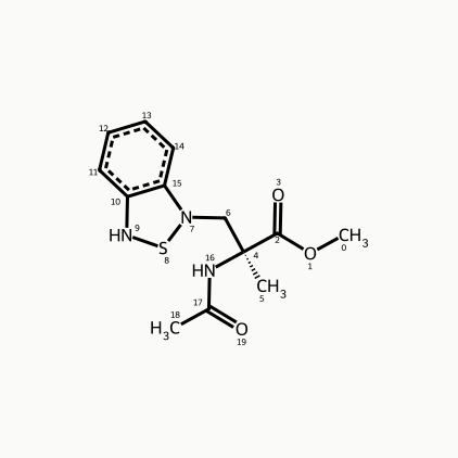 COC(=O)[C@](C)(CN1SNc2ccccc21)NC(C)=O